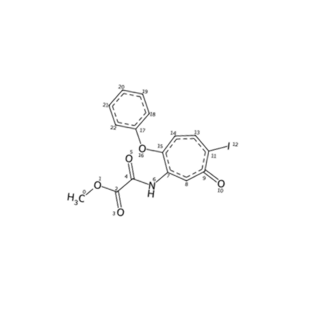 COC(=O)C(=O)Nc1cc(=O)c(I)ccc1Oc1ccccc1